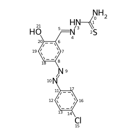 NC(=S)NN=Cc1cc(N=Nc2ccc(Cl)cc2)ccc1O